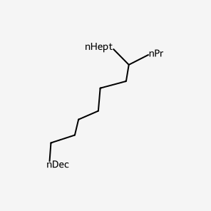 [CH2]CCC(CCCCCCC)CCCCCCCCCCCCCCCC